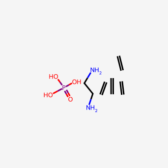 C=C.C=C.C=C.C=C.NCCN.O=P(O)(O)O